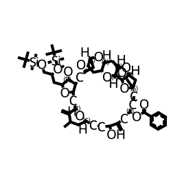 C=C1C[C@@H](OC(=O)c2ccccc2)CC[C@@]23C[C@H]4O[C@H]5C(O2)[C@H]2O[C@H](CCC2O[C@H]5C4O3)CC(=O)CC2C(C[C@H]3O[C@@H](CCC1O)CC(C)C3=C)OC(CC(CO[Si](C)(C)C(C)(C)C)O[Si](C)(C)C(C)(C)C)[C@@H]2OC